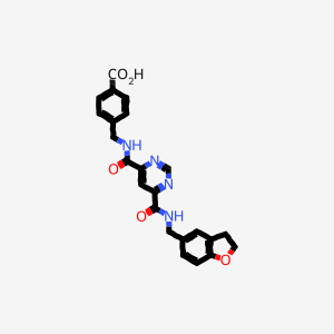 O=C(O)c1ccc(CNC(=O)c2cc(C(=O)NCc3ccc4c(c3)CCO4)ncn2)cc1